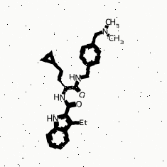 CCc1c(C(=O)N[C@@H](CCC2CC2)C(=O)NCc2ccc(CN(C)C)cc2)[nH]c2ccccc12